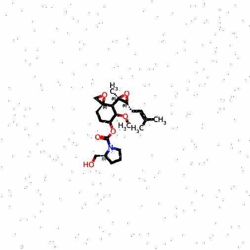 COC1C(OC(=O)N2CCC[C@H]2CO)CC[C@]2(CO2)C1[C@@]1(C)O[C@@H]1CC=C(C)C